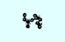 c1ccc(-c2cccc(-c3nc(-c4ccccc4)nc(-c4ccc(-c5cc6c(oc7cccc(-c8cccc9c8oc8ccccc89)c76)c6ccccc56)cc4)n3)c2)cc1